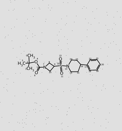 CC(C)(C)OC(=O)N1CC(S(=O)(=O)N2CCC(c3ccccc3)CC2)C1